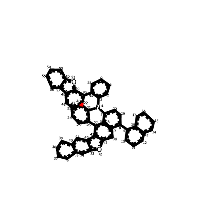 c1ccc(N(c2ccc(-c3cccc4ccccc34)cc2)c2ccccc2-c2cccc3oc4cc5ccccc5cc4c23)c(-c2cccc3c2oc2ccccc23)c1